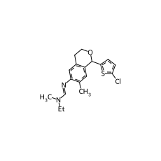 CCN(C)/C=N/c1cc2c(cc1C)C(c1ccc(Cl)s1)OCC2